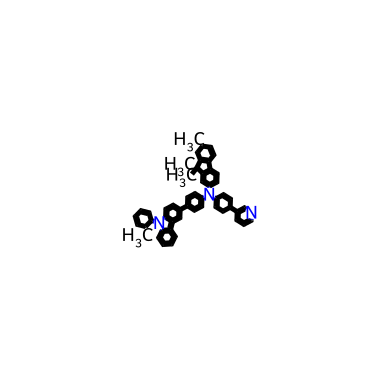 CC1C=CC2=C(C1)C(C)(C)c1cc(N(C3=CCC(c4cccnc4)C=C3)c3ccc(-c4ccc5c(c4)c4ccccc4n5C4C=CC=CC4C)cc3)ccc12